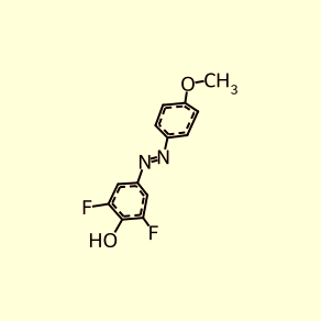 COc1ccc(N=Nc2cc(F)c(O)c(F)c2)cc1